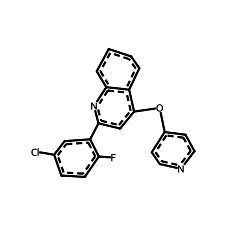 Fc1ccc(Cl)cc1-c1cc(Oc2ccncc2)c2ccccc2n1